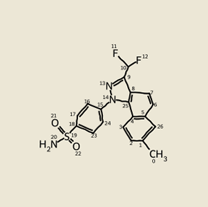 Cc1ccc2c(ccc3c(C(F)F)nn(-c4ccc(S(N)(=O)=O)cc4)c32)c1